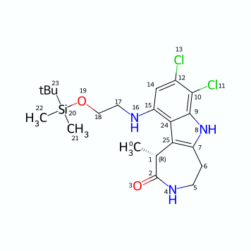 C[C@H]1C(=O)NCCc2[nH]c3c(Cl)c(Cl)cc(NCCO[Si](C)(C)C(C)(C)C)c3c21